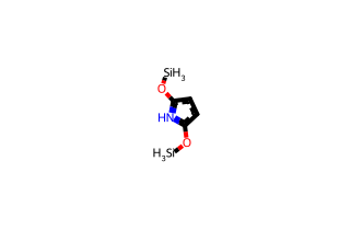 [SiH3]Oc1ccc(O[SiH3])[nH]1